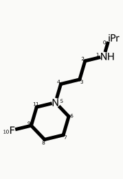 CC(C)NCCCN1CCCC(F)C1